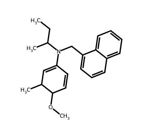 CCC(C)N(Cc1cccc2ccccc12)C1=CC(C)C(OC)C=C1